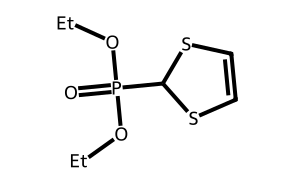 CCOP(=O)(OCC)C1SC=CS1